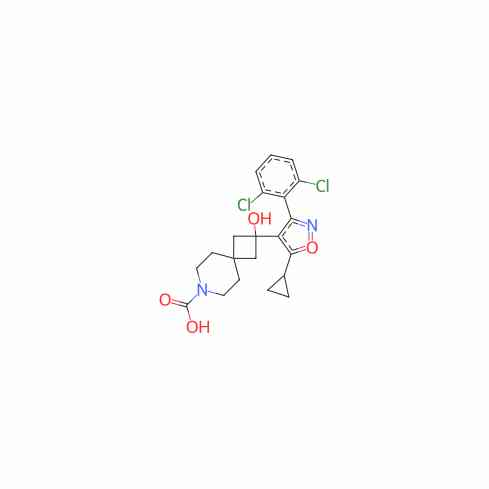 O=C(O)N1CCC2(CC1)CC(O)(c1c(-c3c(Cl)cccc3Cl)noc1C1CC1)C2